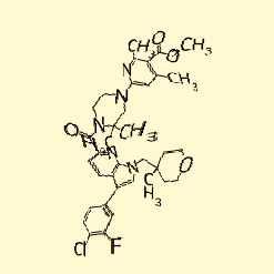 COC(=O)c1c(C)cc(N2CCN(C(=O)c3ccc4c(-c5ccc(Cl)c(F)c5)cn(CC5(C)CCOCC5)c4n3)C(C)(C)C2)nc1C